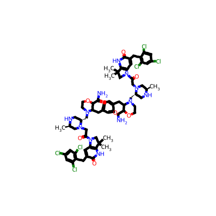 C[C@@H]1CN(CC(=O)N2CC(C)(C)c3[nH]c(=O)c(Cc4c(Cl)cc(Cl)cc4Cl)cc32)[C@@H](CN2CCOC(C(N)=O)C2Cc2ccc(CC3C(C(N)=O)OCCN3C[C@H]3CN[C@H](C)CN3CC(=O)N3CC(C)(C)c4[nH]c(=O)c(Cc5c(Cl)cc(Cl)cc5Cl)cc43)cc2)CN1